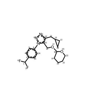 FC(F)c1ccc(-n2nnc(CC3CC3)c2COC2CCCCO2)cc1